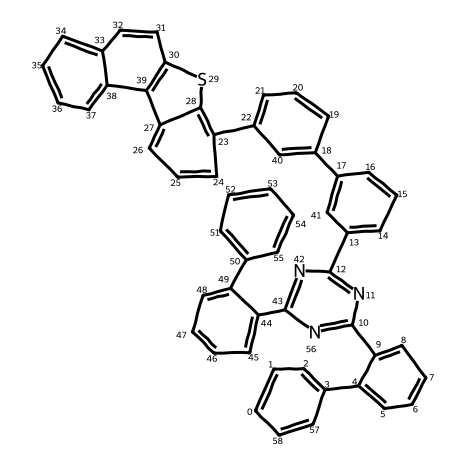 c1ccc(-c2ccccc2-c2nc(-c3cccc(-c4cccc(-c5cccc6c5sc5ccc7ccccc7c56)c4)c3)nc(-c3ccccc3-c3ccccc3)n2)cc1